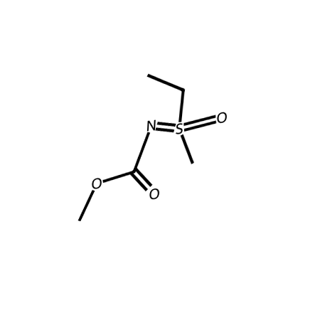 CCS(C)(=O)=NC(=O)OC